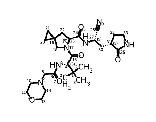 CC(C)(C)[C@H](NC(=O)CN1CCOCC1)C(=O)N1CC2(CC2)C[C@H]1C(=O)N[C@H](C#N)C[C@@H]1CCNC1=O